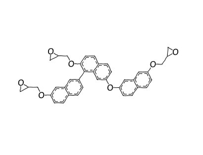 c1cc2ccc(Oc3ccc4ccc(OCC5CO5)c(-c5ccc6ccc(OCC7CO7)cc6c5)c4c3)cc2cc1OCC1CO1